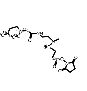 CN(CCNC(=O)[13CH2][15N]1CC[15N]([13CH3])[13CH2][13CH2]1)[13C](=O)CC[13C](=O)ON1C(=O)CCC1=O